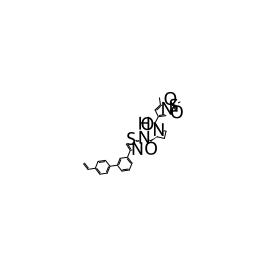 C=Cc1ccc(-c2cccc(-c3csc(NC(=O)[C@@H]4CCN4C(=O)c4cc(C)n(S(C)(=O)=O)c4)n3)c2)cc1